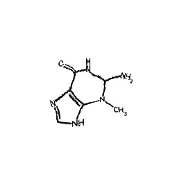 CN1c2[nH]cnc2C(=O)NC1N